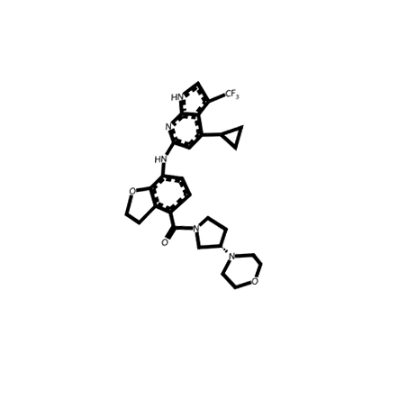 O=C(c1ccc(Nc2cc(C3CC3)c3c(C(F)(F)F)c[nH]c3n2)c2c1CCO2)N1CC[C@H](N2CCOCC2)C1